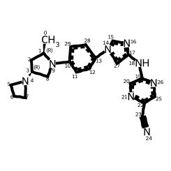 C[C@@H]1C[C@@H](N2CCC2)CN1c1ccc(-n2cnc(Nc3cnc(C#N)cn3)c2)cc1